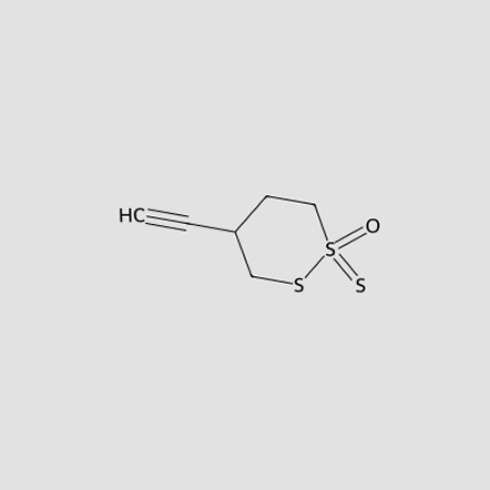 C#CC1CCS(=O)(=S)SC1